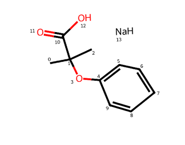 CC(C)(Oc1ccccc1)C(=O)O.[NaH]